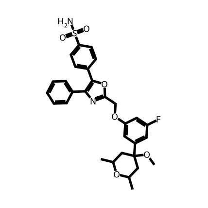 COC1(c2cc(F)cc(OCc3nc(-c4ccccc4)c(-c4ccc(S(N)(=O)=O)cc4)o3)c2)CC(C)OC(C)C1